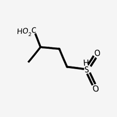 CC(CC[SH](=O)=O)C(=O)O